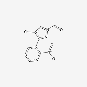 O=Cn1cc(Cl)c(-c2ccccc2[N+](=O)[O-])c1